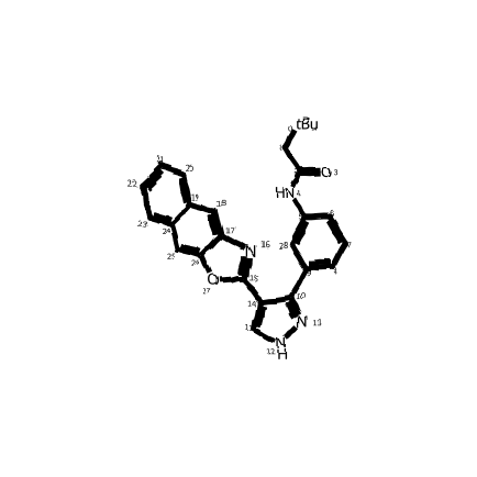 CC(C)(C)CC(=O)Nc1cccc(-c2n[nH]cc2-c2nc3cc4ccccc4cc3o2)c1